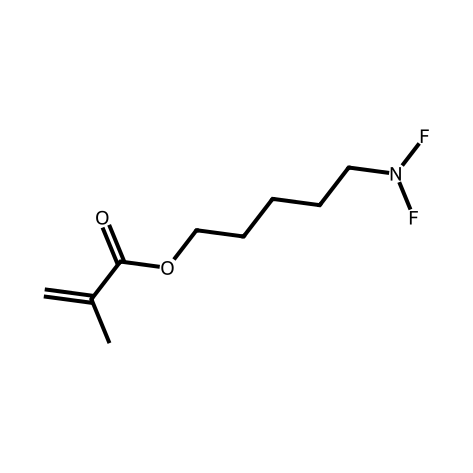 C=C(C)C(=O)OCCCCCN(F)F